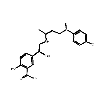 CC(CCN(C)c1ccc(Cl)cc1)NCC(O)c1ccc(O)c(C(N)=O)c1